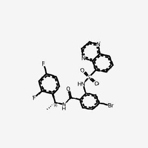 C[C@@H](NC(=O)c1ccc(Br)cc1NS(=O)(=O)c1cccc2nccnc12)c1ccc(F)cc1F